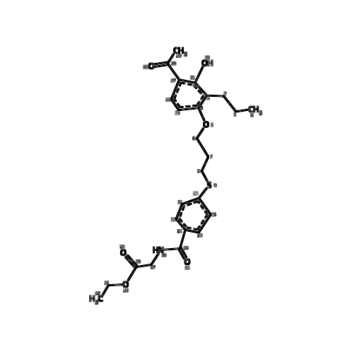 CCCc1c(OCCCSc2ccc(C(=O)NCC(=O)OCC)cc2)ccc(C(C)=O)c1O